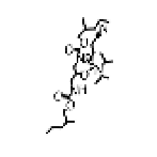 CCCC(C)COC(=O)NCC(CNC(=O)OCC(C)CCC)OP(OCCC#N)N(C(C)C)C(C)C